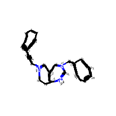 C(#Cc1ccccc1)CN1CCC2=C(CN(Cc3ccccc3)C=N2)C1